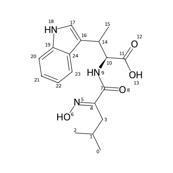 CC(C)CC(=NO)C(=O)N[C@H](C(=O)O)C(C)c1c[nH]c2ccccc12